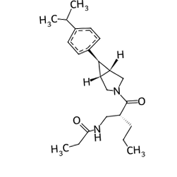 CCC[C@H](CNC(=O)CC)C(=O)N1C[C@@H]2[C@H](C1)[C@H]2c1ccc(C(C)C)cc1